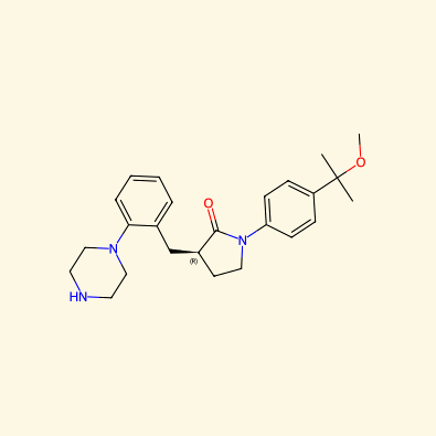 COC(C)(C)c1ccc(N2CC[C@@H](Cc3ccccc3N3CCNCC3)C2=O)cc1